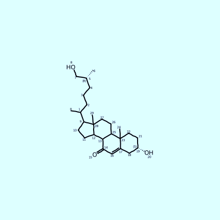 CC(CCC[C@@H](C)CO)C1CCC2C3C(=O)C=C4C[C@@H](O)CCC4(C)C3CCC12C